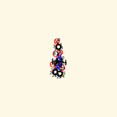 COc1ccc(OC(=O)N2C[C@H]3CC2[C@H]2C(=O)N(c4cccc5ccccc45)C(=O)N32)cc1